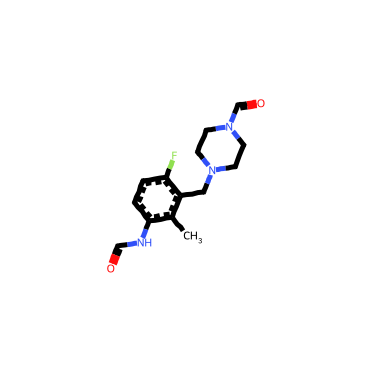 Cc1c(NC=O)ccc(F)c1CN1CCN(C=O)CC1